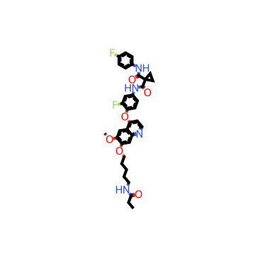 CCC(=O)NCCCCCOc1cc2nccc(Oc3ccc(NC(=O)C4(C(=O)Nc5ccc(F)cc5)CC4)cc3F)c2cc1OC